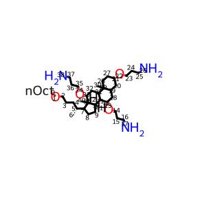 CCCCCCCCOCCC[C@@H](C)C1CC[C@H]2C3[C@H](OCCCN)CC4C[C@H](OCCCN)CCC4(C)[C@H]3C[C@H](OCCCN)C12C